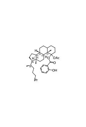 CC(=O)OC1(OC(=O)c2ccccc2O)CCCC2CC[C@H]3[C@@H]4CC[C@H]([C@H](C)CCCC(C)C)[C@@]4(C)CC[C@@H]3[C@]21C